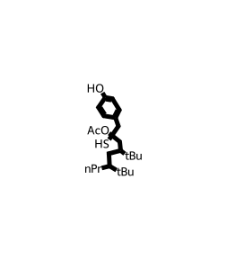 CCCC(CC(CC(S)(Cc1ccc(O)cc1)OC(C)=O)C(C)(C)C)C(C)(C)C